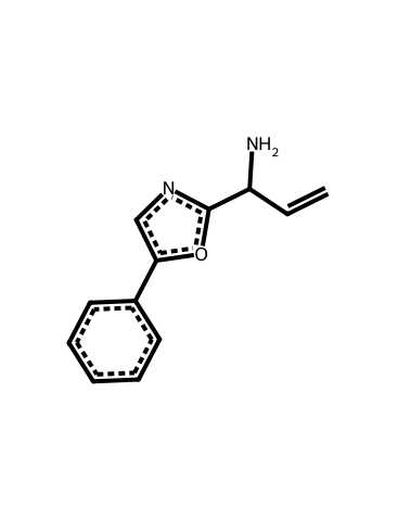 C=CC(N)c1ncc(-c2ccccc2)o1